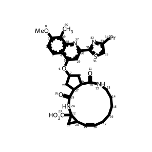 COc1ccc2c(OC3CC4C(=O)NCCCCCC=CC5CC5(C(=O)O)NC(=O)C4C3)cc(-c3nc(C(C)C)cs3)nc2c1C